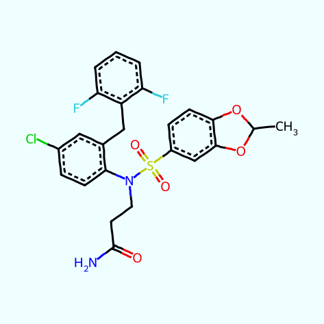 CC1Oc2ccc(S(=O)(=O)N(CCC(N)=O)c3ccc(Cl)cc3Cc3c(F)cccc3F)cc2O1